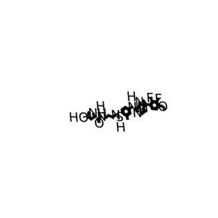 COc1ccc(-c2cnc3c(Nc4ccc(/[SH]=N/CCCNC(=O)[C@@H]5C[C@@H](O)CN5)c(C)c4)nccn23)c(F)c1F